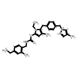 CCn1c(OC(=O)NCc2ccc(CN)cc2C)cc(C)c1Cc1ccc(Cn2cc(C)cn2)cc1